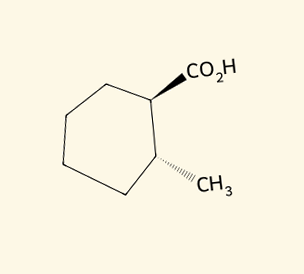 C[C@@H]1CCCC[C@H]1C(=O)O